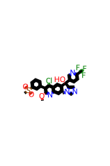 COc1nc2ccc(C(O)(c3ccc(C(F)(F)F)nc3)c3cncn3C)cc2c(Cl)c1-c1cccc(S(C)(=O)=O)c1